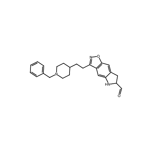 O=CC1Cc2cc3onc(CCC4CCN(Cc5ccccc5)CC4)c3cc2N1